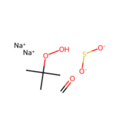 C=O.CC(C)(C)OO.[Na+].[Na+].[O-]S[O-]